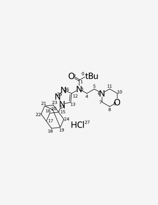 CC(C)(C)C(=O)N(CCN1CCOCC1)c1cn(C23CC4CC(CC(C4)C2)C3)nn1.Cl